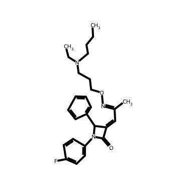 CCCCN(CC)CCCON=C(C)/C=C1/C(=O)N(c2ccc(F)cc2)C1c1ccccc1